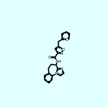 O=C(NC1CCc2ccccc2-n2ccnc21)c1cc(Cc2ccccc2)on1